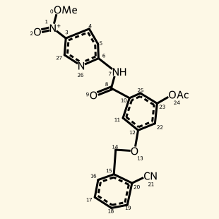 CO[N+](=O)c1ccc(NC(=O)c2cc(OCc3ccccc3C#N)cc(OC(C)=O)c2)nc1